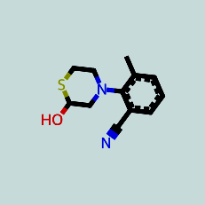 Cc1cccc(C#N)c1N1CCSC(O)C1